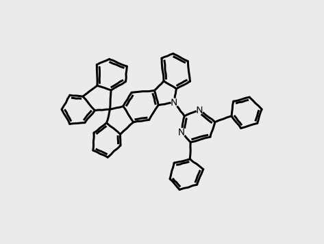 c1ccc(-c2cc(-c3ccccc3)nc(-n3c4ccccc4c4cc5c(cc43)-c3ccccc3C53c4ccccc4-c4ccccc43)n2)cc1